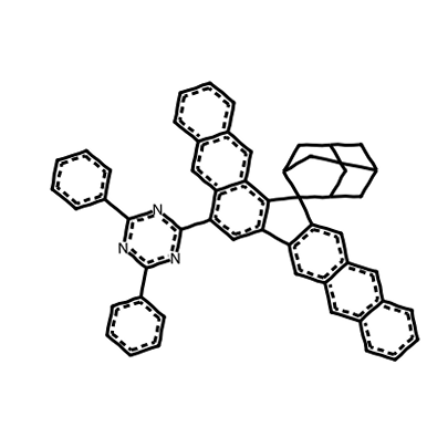 c1ccc(-c2nc(-c3ccccc3)nc(-c3cc4c(c5cc6ccccc6cc35)C3(c5cc6cc7ccccc7cc6cc5-4)C4CC5CC(C4)CC3C5)n2)cc1